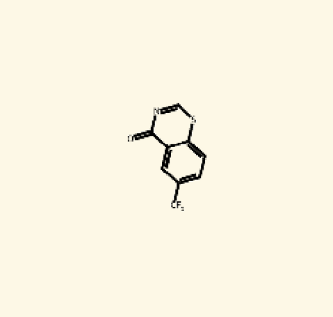 O=c1ncsc2ccc(C(F)(F)F)cc12